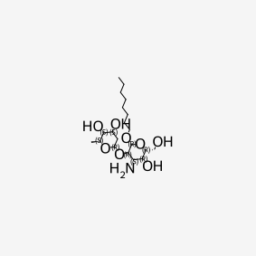 CCCCCCCCO[C@@H]1O[C@H](CO)[C@H](O)[C@H](N)[C@H]1O[C@@H]1C[C@H](O)[C@H](O)[C@H](C)O1